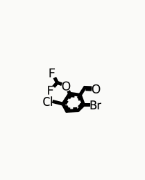 O=Cc1c(Br)ccc(Cl)c1OC(F)F